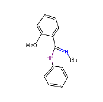 COc1ccccc1C(=NC(C)(C)C)Pc1ccccc1